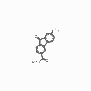 COC(=O)c1ccc2c(c1)-c1ccc(C)cc1C2=O